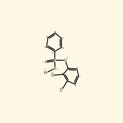 CCOP(=S)(Oc1cccc(Cl)c1Cl)c1ccccc1